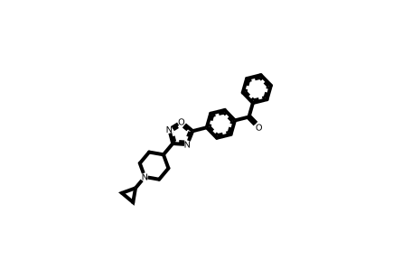 O=C(c1ccccc1)c1ccc(-c2nc(C3CCN(C4CC4)CC3)no2)cc1